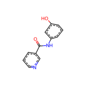 O=C(Nc1cccc(O)c1)c1cccnc1